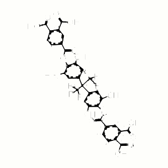 Cc1cc(C(c2cc(C)c(OC(=O)c3ccc(C(=O)O)c(C(=O)O)c3)c(C)c2)(C(F)(F)F)C(F)(F)F)cc(C)c1OC(=O)c1ccc(C(=O)O)c(C(=O)O)c1